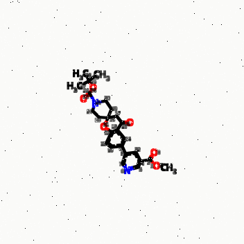 COC(=O)c1cncc(-c2ccc3c(c2)C(=O)CC2(CCN(C(=O)OC(C)(C)C)CC2)O3)c1